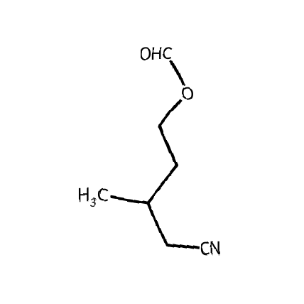 CC(CC#N)CCOC=O